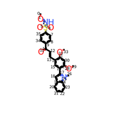 CONS(=O)(=O)c1ccc(C(=O)/C=C/c2cc(-c3cc4ccccc4n3C)c(OC)cc2OC)cc1